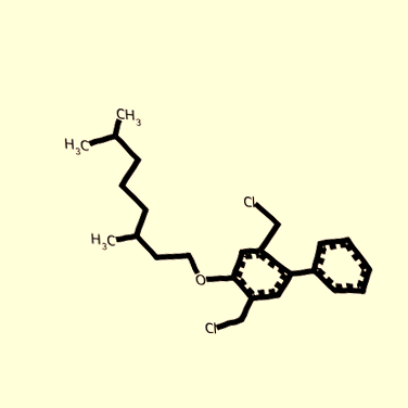 CC(C)CCCC(C)CCOc1cc(CCl)c(-c2ccccc2)cc1CCl